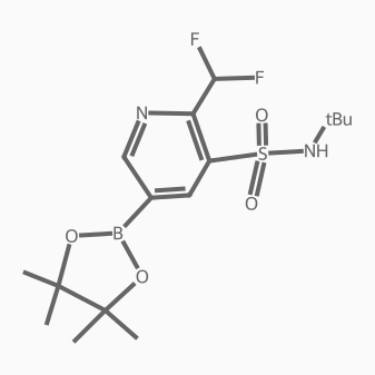 CC(C)(C)NS(=O)(=O)c1cc(B2OC(C)(C)C(C)(C)O2)cnc1C(F)F